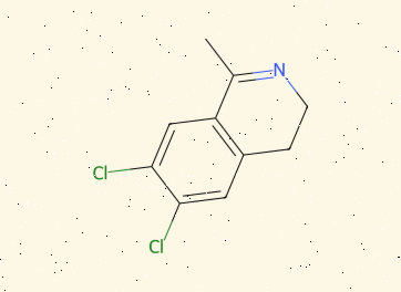 CC1=NCCc2cc(Cl)c(Cl)cc21